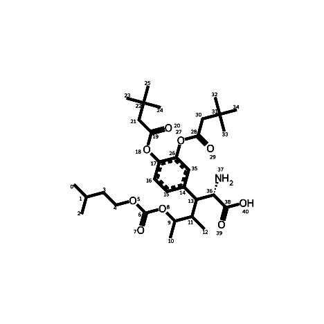 CC(C)CCOC(=O)OC(C)C(C)C(c1ccc(OC(=O)CC(C)(C)C)c(OC(=O)CC(C)(C)C)c1)[C@H](N)C(=O)O